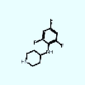 Fc1cc(F)c(NC2CCNCC2)c(F)c1